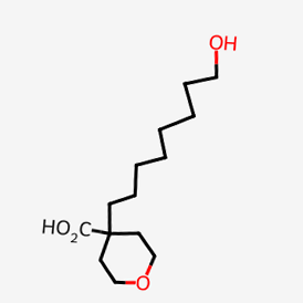 O=C(O)C1(CCCCCCCCO)CCOCC1